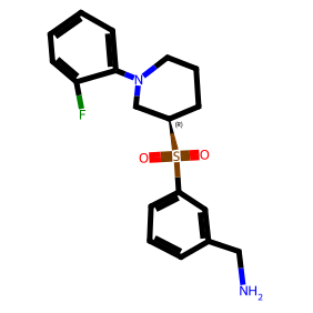 NCc1cccc(S(=O)(=O)[C@@H]2CCCN(c3ccccc3F)C2)c1